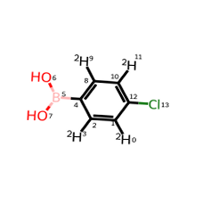 [2H]c1c([2H])c(B(O)O)c([2H])c([2H])c1Cl